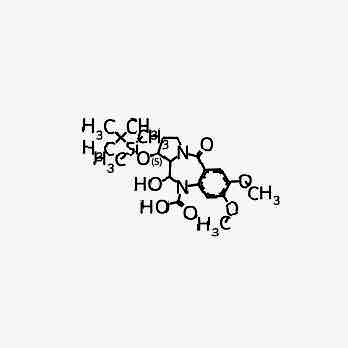 COc1cc2c(cc1OC)N(C(=O)O)C(O)C1[C@@H](O[Si](C)(C)C(C)(C)C)CCN1C2=O